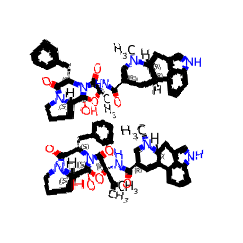 CC(C)[C@@]1(NC(=O)[C@@H]2C=C3c4cccc5[nH]cc(c45)C[C@H]3N(C)C2)O[C@@]2(O)[C@@H]3CCCN3C(=O)[C@H](Cc3ccccc3)N2C1=O.CN1C[C@H](C(=O)N[C@]2(C)O[C@@]3(O)[C@@H]4CCCN4C(=O)[C@H](Cc4ccccc4)N3C2=O)C[C@@H]2c3cccc4[nH]cc(c34)C[C@H]21